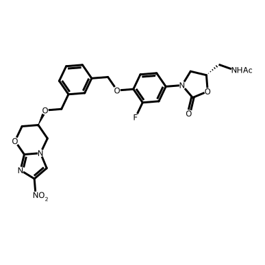 CC(=O)NC[C@H]1CN(c2ccc(OCc3cccc(CO[C@@H]4COc5nc([N+](=O)[O-])cn5C4)c3)c(F)c2)C(=O)O1